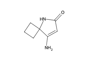 NC1=CC(=O)NC12CCC2